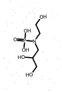 O=P(O)(O)N(CCO)CC(O)CO